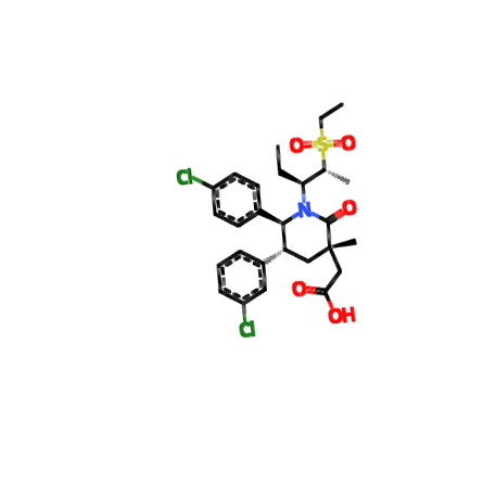 CC[C@@H]([C@@H](C)S(=O)(=O)CC)N1C(=O)[C@](C)(CC(=O)O)C[C@H](c2cccc(Cl)c2)[C@H]1c1ccc(Cl)cc1